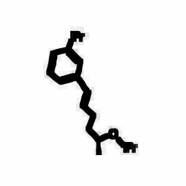 CC(C)O[C@@H](C)CC/C=C/c1cccc(C(C)C)c1